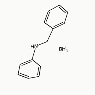 B.c1ccc(CNc2ccccc2)cc1